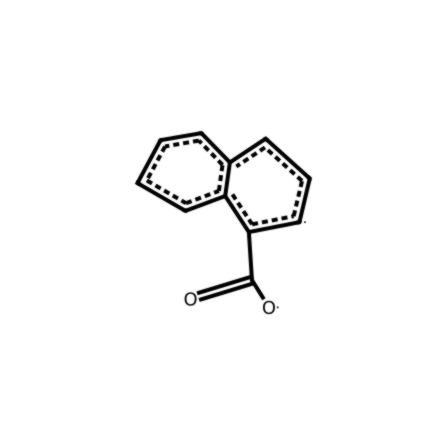 [O]C(=O)c1[c]ccc2ccccc12